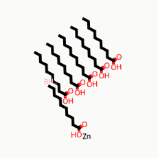 B.CCCCCCCCCC(=O)O.CCCCCCCCCC(=O)O.CCCCCCCCCC(=O)O.CCCCCCCCCC(=O)O.CCCCCCCCCC(=O)O.CCCCCCCCCC(=O)O.[Zn]